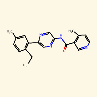 CCc1ccc(C)cc1-c1cnc(NC(=O)c2cnccc2C)cn1